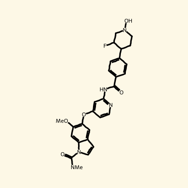 CNC(=O)n1ccc2cc(Oc3ccnc(NC(=O)c4ccc(C5CCN(O)CC5F)cc4)c3)c(OC)cc21